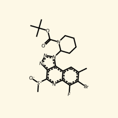 Cc1cc2c(nc([S+](C)[O-])c3nnn(C4CCCCN4C(=O)OC(C)(C)C)c32)c(F)c1Br